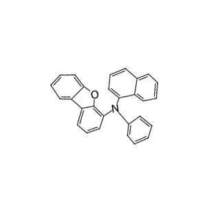 c1ccc(N(c2cccc3ccccc23)c2cccc3c2oc2ccccc23)cc1